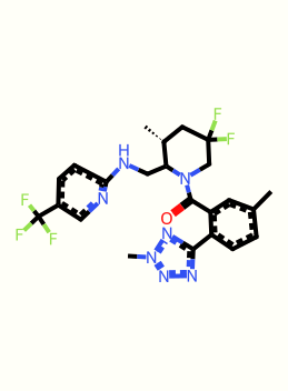 Cc1ccc(-c2nnn(C)n2)c(C(=O)N2CC(F)(F)C[C@@H](C)C2CNc2ccc(C(F)(F)F)cn2)c1